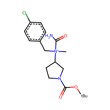 CC(C)(C)OC(=O)N1CCC([N+](C)(Cc2ccc(Cl)cc2)C(N)=O)C1